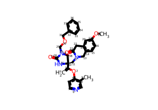 C=C(Oc1ccncc1C)[C@]1(CN2Cc3ccc(OC)cc3CC2=O)NC(=O)N(COCc2ccccc2)C1=O